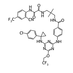 CC(C)(CNC(=O)C(=O)Nc1ccc(C(F)(F)F)cc1C#N)CNC(=O)c1ccc(Nc2nc(NC3(c4ccc(Cl)cc4)CC3)nc(OCC(F)(F)F)n2)cc1